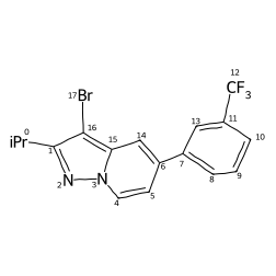 CC(C)c1nn2ccc(-c3cccc(C(F)(F)F)c3)cc2c1Br